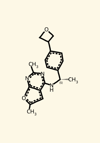 Cc1nc(N[C@@H](C)c2ccc(C3COC3)cc2)c2cc(C)oc2n1